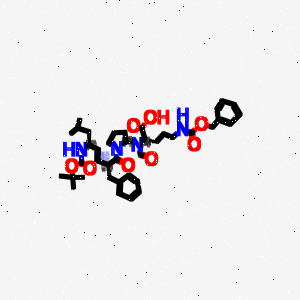 CC(C)C[C@@H](/C=C/[C@H](Cc1ccccc1)C(=O)N1CCC[C@@H]1N(C=O)[C@@H](CCCNC(=O)OCc1ccccc1)C(=O)O)NC(=O)OC(C)(C)C